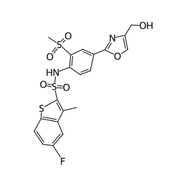 Cc1c(S(=O)(=O)Nc2ccc(-c3nc(CO)co3)cc2S(C)(=O)=O)sc2ccc(F)cc12